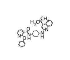 CN(C)c1cc(NC2CCC(NC(=O)c3cccnc3Oc3ccccc3)CC2)nc2ccccc12